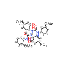 COc1cccc(NC(=O)N(c2ccc([N+](=O)[O-])cc2O)N(C(=O)Nc2ccccc2OC)c2ccc([N+](=O)[O-])cc2O)c1